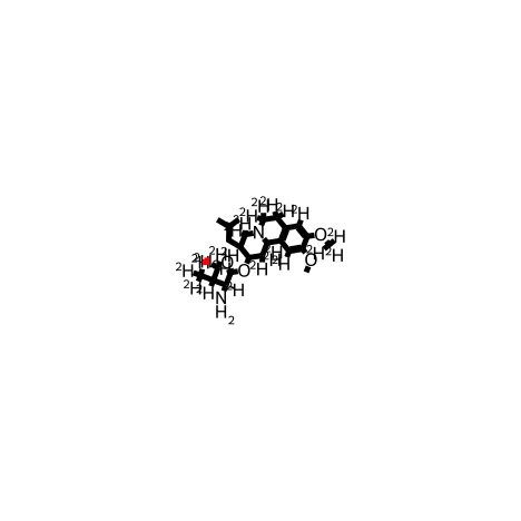 [2H]c1c(OC([2H])([2H])[2H])c(OC)c([2H])c2c1C([2H])([2H])C([2H])([2H])N1C([2H])([2H])C([2H])(CC(C)C)C(OC(=O)[C@@]([2H])(N)C([2H])(C([2H])([2H])[2H])C([2H])([2H])[2H])C([2H])([2H])C21[2H]